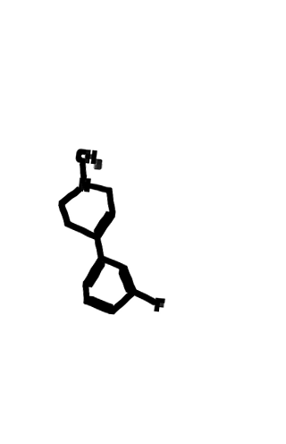 CN1CC=C(c2cccc(F)c2)CC1